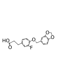 O=C(O)CCc1ccc(OCc2ccc3c(c2)OCO3)c(F)c1